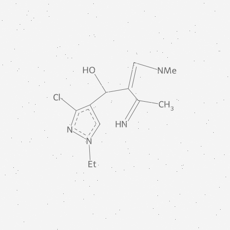 CCn1cc(C(O)/C(=C/NC)C(C)=N)c(Cl)n1